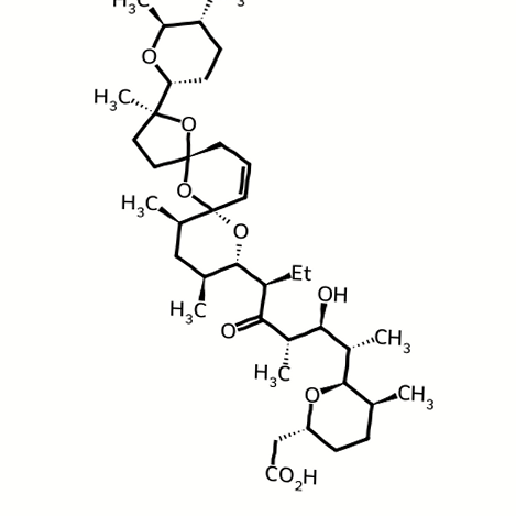 CC[C@@H](C(=O)[C@@H](C)[C@@H](O)[C@H](C)[C@@H]1O[C@@H](CC(=O)O)CC[C@@H]1C)[C@H]1O[C@]2(C=CC[C@]3(CC[C@@](C)([C@H]4CC[C@@H](C)[C@H](C)O4)O3)O2)[C@H](C)C[C@@H]1C